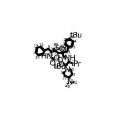 CC(C)C(NC(=O)C(CCC(Cc1ccccc1)NC(=O)OC(C)(C)C)(Cc1ccc(C(C)(C)C)cc1)O[SiH](C)C)C(=O)N1CCC(N(C)C)CC1